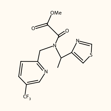 COC(=O)C(=O)N(Cc1ccc(C(F)(F)F)cn1)C(C)c1cscn1